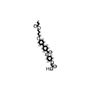 C=CC(=O)OCCCCOc1ccc(-c2ccc(C(=O)Oc3ccc(OCC(=O)O)cc3)cc2)cc1